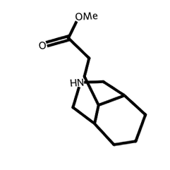 COC(=O)CCC1C2CCCC1CNC2